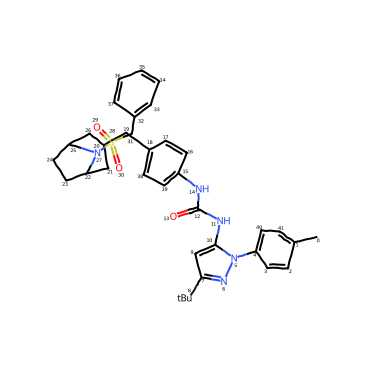 Cc1ccc(-n2nc(C(C)(C)C)cc2NC(=O)Nc2ccc(CC3CC4CCC(C3)N4S(=O)(=O)Cc3ccccc3)cc2)cc1